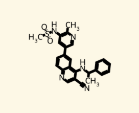 Cc1ncc(-c2ccc3ncc(C#N)c(NC(C)c4ccccc4)c3c2)cc1NS(C)(=O)=O